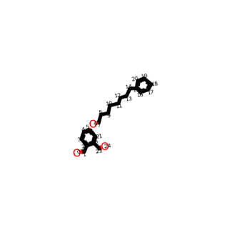 O=Cc1ccc(OCCCCCCCCc2ccccc2)cc1C=O